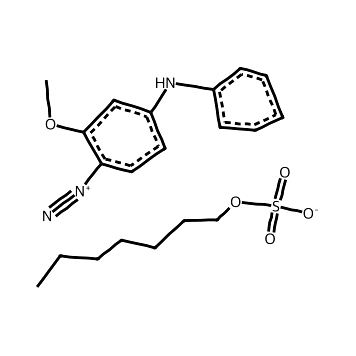 CCCCCCCOS(=O)(=O)[O-].COc1cc(Nc2ccccc2)ccc1[N+]#N